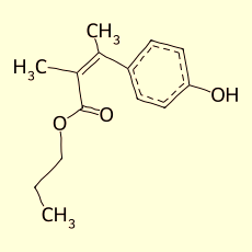 CCCOC(=O)C(C)=C(C)c1ccc(O)cc1